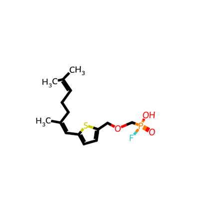 CC(C)=CCCC(C)=Cc1ccc(COCP(=O)(O)F)s1